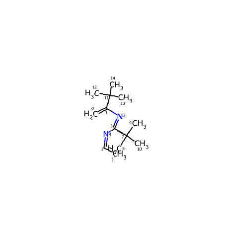 C=C(/N=C(\N=C/C)C(C)(C)C)C(C)(C)C